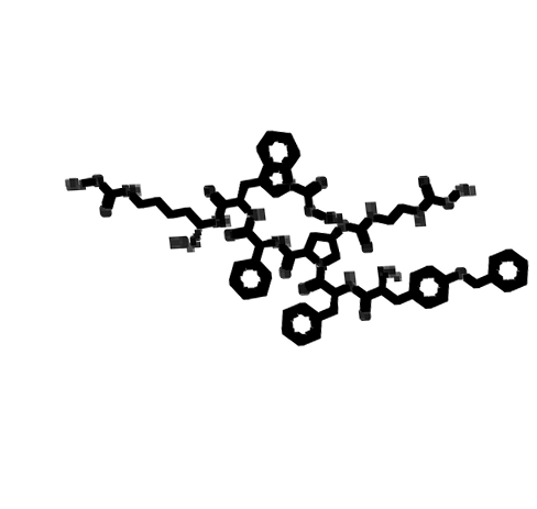 CC(C)(C)OC(=O)NCCCC[C@H](NC(=O)[C@@H](Cc1cn(C(=O)OC(C)(C)C)c2ccccc12)NC(=O)[C@@H](NC(=O)C1C[C@@H](OC(=O)NCCNC(=O)OC(C)(C)C)CN1C(=O)[C@H](Cc1ccccc1)NC(=O)[C@@H](N)Cc1ccc(OCc2ccccc2)cc1)c1ccccc1)C(=O)O